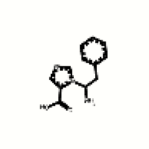 NC(Cc1ccccc1)n1cncc1C(=O)O